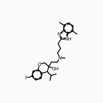 Cc1ccc(C)c2[nH]c(CCCN(C)CCC3(O)COc4cc(F)ccc4C3C(C)C)nc12